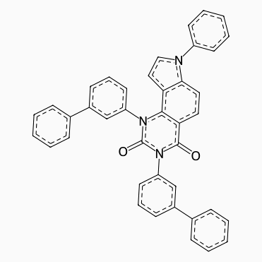 O=c1c2ccc3c(ccn3-c3ccccc3)c2n(-c2cccc(-c3ccccc3)c2)c(=O)n1-c1cccc(-c2ccccc2)c1